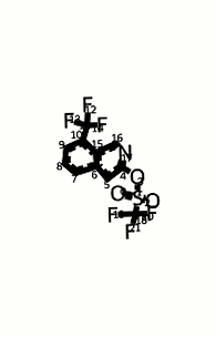 O=S(=O)(Oc1cc2cccc(C(F)(F)F)c2cn1)C(F)(F)F